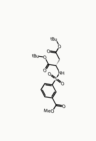 COC(=O)c1cccc(S(=O)(=O)N[C@@H](CC(=O)OC(C)(C)C)C(=O)OC(C)(C)C)c1